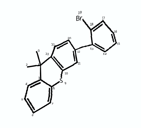 CC1(C)c2ccccc2Sc2cc(-c3ccccc3Br)ccc21